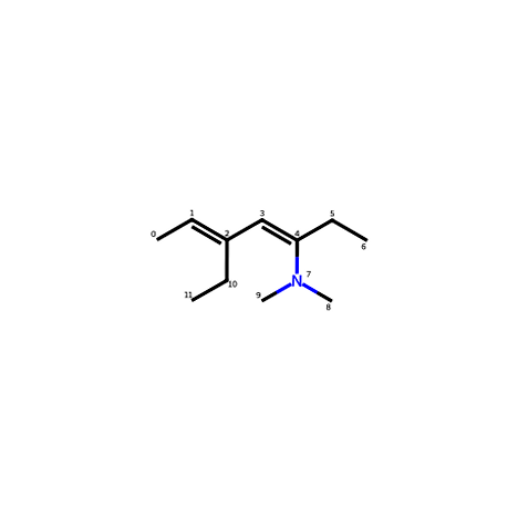 C/C=C(/C=C(/CC)N(C)C)CC